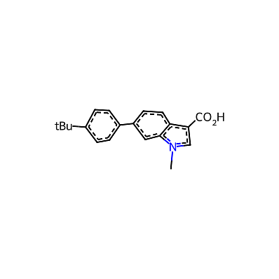 Cn1cc(C(=O)O)c2ccc(-c3ccc(C(C)(C)C)cc3)cc21